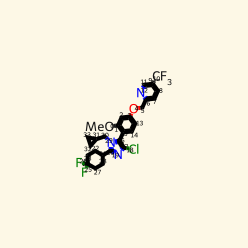 COc1cc(OCc2ccc(C(F)(F)F)cn2)ccc1-c1c(Cl)nc(C2CCC(F)(F)CC2)n1CC1CC1